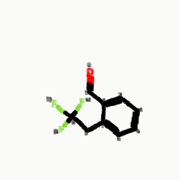 O=[C]c1ccccc1CC(F)(F)F